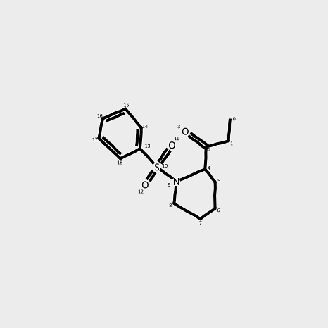 CCC(=O)C1CCCCN1S(=O)(=O)c1ccccc1